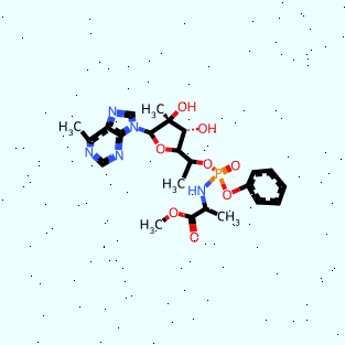 COC(=O)C(C)NP(=O)(Oc1ccccc1)OC(C)C1OC(n2cnc3c(C)ncnc32)[C@](C)(O)[C@@H]1O